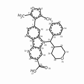 Cc1noc(C)c1-c1cnc2c3ncc(C(=O)O)cc3n(C(c3ccccc3)C3CCOCC3)c2c1